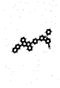 N#Cc1ccc2c(c1)c1cc(-c3ccc(-c4cc5c6ccccc6c(-c6ccc7ccccc7c6)cc5c5ccccc45)cc3)ccc1n2-c1ccccc1